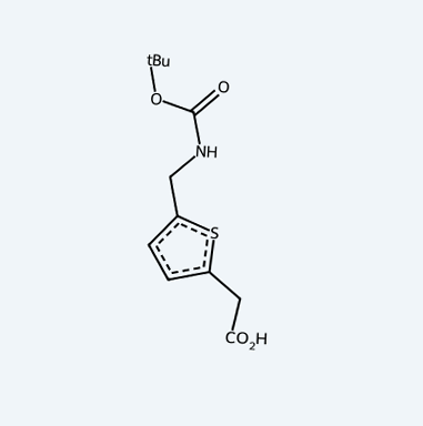 CC(C)(C)OC(=O)NCc1ccc(CC(=O)O)s1